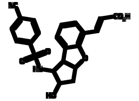 N#Cc1ccc(S(=O)(=O)NC2C(O)CC3Oc4c(C=CC(=O)O)cccc4C32)cc1